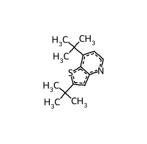 CC(C)(C)c1cc2nccc(C(C)(C)C)c2s1